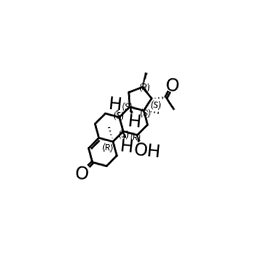 CC(=O)[C@H]1[C@H](C)C[C@H]2[C@@H]3CCC4=CC(=O)CC[C@]4(C)[C@H]3[C@H](O)C[C@@]21C